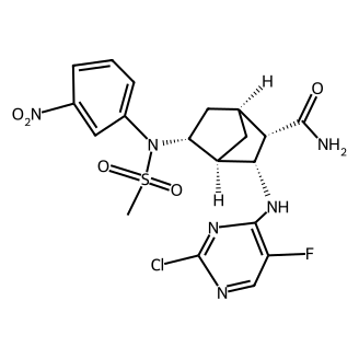 CS(=O)(=O)N(c1cccc([N+](=O)[O-])c1)[C@@H]1C[C@@H]2C[C@H]1[C@@H](Nc1nc(Cl)ncc1F)[C@H]2C(N)=O